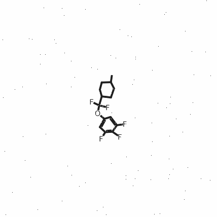 CC1CCC(C(F)(F)Oc2cc(F)c(F)c(F)c2)CC1